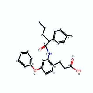 CCCC(C(=O)Nc1cc(Oc2ccccc2)ccc1CCC(=O)O)c1ccc(C)cc1